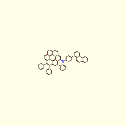 c1ccc(-c2c(-c3ccccc3)c3cc(-c4ccccc4N(c4ccc(-c5cccc6c5ccc5ccccc56)cc4)c4ccc5c(ccc6ccccc65)c4)ccc3c3ccccc23)cc1